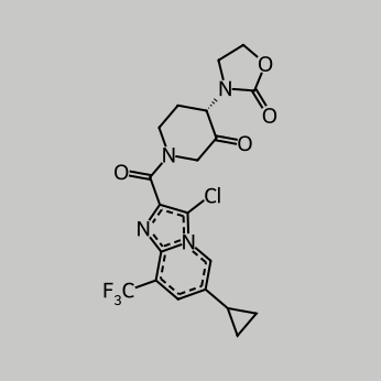 O=C1CN(C(=O)c2nc3c(C(F)(F)F)cc(C4CC4)cn3c2Cl)CC[C@@H]1N1CCOC1=O